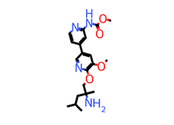 COC(=O)Nc1cc(-c2cnc(OCC(C)(N)CC(C)C)c(OC)c2)ccn1